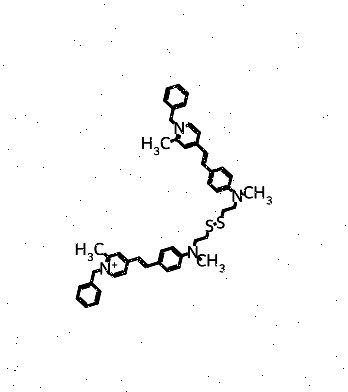 Cc1cc(/C=C/c2ccc(N(C)CCSSCCN(C)c3ccc(/C=C/c4cc[n+](Cc5ccccc5)c(C)c4)cc3)cc2)cc[n+]1Cc1ccccc1